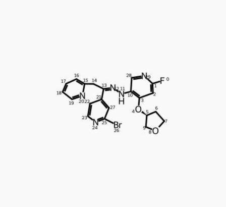 Fc1cc(O[C@H]2CCOC2)c(N/N=C(/Cc2ccccn2)c2ccnc(Br)c2)cn1